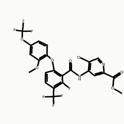 COC(=O)c1cc(NC(=O)c2c(Oc3ccc(OC(F)(F)F)cc3OC)ccc(C(F)(F)F)c2F)c(Cl)cn1